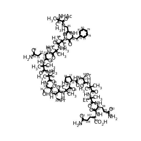 CC[C@](C)(NC(=O)C(C)(C)NC(=O)[C@@H](NC(=O)[C@@H]1CCCN1C(=O)C(C)(C)NC(=O)[C@H](CC(C)C)NC(=O)[C@H](CO)NC(=O)C(C)(C)NC(=O)C(C)(C)NC(=O)[C@H](CCC(N)=O)NC(=O)C(C)(C)NC(=O)C(C)(C)NC(=O)[C@H](Cc1ccccc1)NC(=O)CNC(=O)C(C)(C)NC(C)=O)C(C)C)C(=O)N[C@@H](CCC(N)=O)C(=O)N[C@@H](CCC(N)=O)C(=O)O